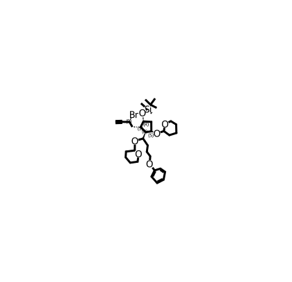 C#C[C@H](Br)C[C@H]1[C@H](C(CCCOc2ccccc2)OC2CCCCO2)[C@@H](OC2CCCCO2)C[C@H]1O[Si](C)(C)C(C)(C)C